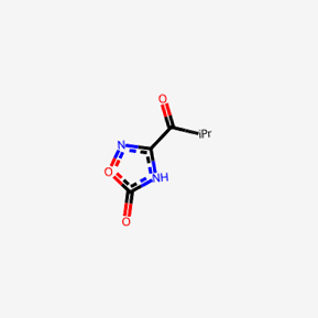 CC(C)C(=O)c1noc(=O)[nH]1